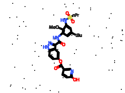 CCCS(=O)(=O)Nc1cc(C(C)(C)C)cc(NC(=O)c2n[nH]c3ccc(OC(=O)c4ccc(O)nc4)cc23)c1OC